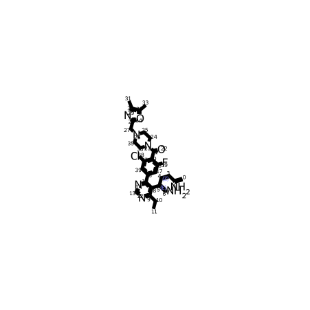 C=C(N)/C=C\C(=C/N)c1c(CC)ncnc1-c1cc(F)c(C(=O)N2CCN(Cc3nc(C)c(C)o3)CC2)c(Cl)c1